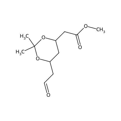 COC(=O)CC1CC(CC=O)OC(C)(C)O1